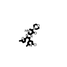 Cc1cc(-c2nc3c(=O)c(N4CCOCC4)c[nH]c3nc2-c2ccc(C)o2)cc(Cl)n1